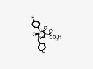 O=C(O)C(=O)c1cn(CC2CCOCC2)c(=O)n(-c2ccc(F)cc2)c1=O